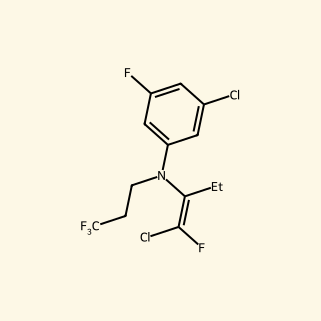 CC/C(=C(\F)Cl)N(CCC(F)(F)F)c1cc(F)cc(Cl)c1